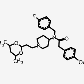 CC(C)COc1ccc(CC(=O)N(Cc2ccc(F)cc2)C2CCN(CCC3OC(C)CC(C)O3)CC2)cc1